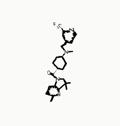 Cc1ccc2c(n1)C(C)(C)CN2C(=O)[C@H]1CC[C@H](N(C)Cc2ccnc(C(F)(F)F)c2)CC1